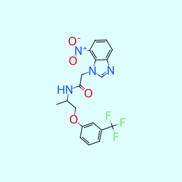 CC(COc1cccc(C(F)(F)F)c1)NC(=O)Cn1cnc2cccc([N+](=O)[O-])c21